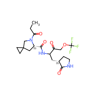 CCC(=O)N1CC2(CC2)C[C@H]1C(=O)NC(C[C@@H]1CCNC1=O)C(=O)COC(F)(F)F